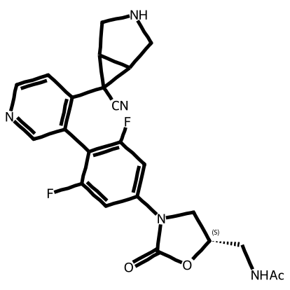 CC(=O)NC[C@H]1CN(c2cc(F)c(-c3cnccc3C3(C#N)C4CNCC43)c(F)c2)C(=O)O1